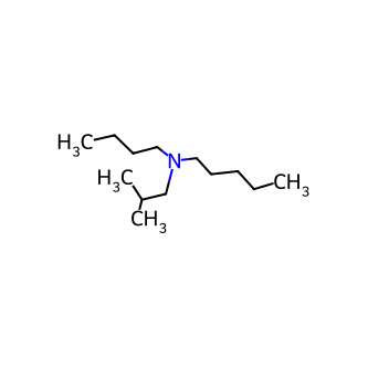 CCCCCN(CCCC)CC(C)C